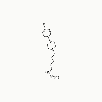 CCCCCNCCCCCN1CCN(c2ccc(F)cc2)CC1